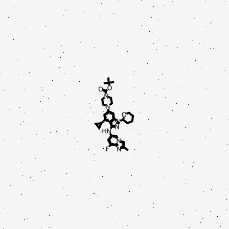 Cc1cn2cc(Nc3nn(C4CCCCO4)c4cc(N5CCN(C(=O)OC(C)(C)C)CC5)cc(C5CC5)c34)cc(F)c2n1